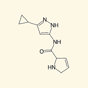 O=C(Nc1cc(C2CC2)n[nH]1)C1C=CCN1